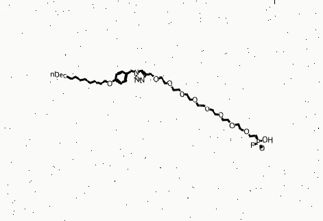 CCCCCCCCCCCCCCCCCCOc1ccc(Cn2cc(COCCOCCOCCOCCOCCOCCOCCOCCP(=O)(O)F)nn2)cc1